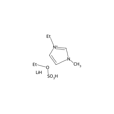 CCOS(=O)(=O)O.CC[n+]1ccn(C)c1.[LiH]